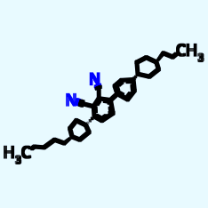 CCCCC[C@H]1CC[C@H](c2ccc(-c3ccc([C@H]4CC[C@H](CCC)CC4)cc3)c(C#N)c2C#N)CC1